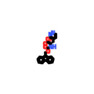 O=C(N[C@@H](Cc1ccnnc1)C(=O)O)OCC1c2ccccc2-c2ccccc21